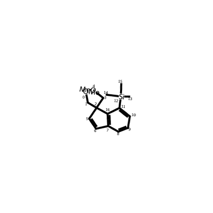 COCC1(COC)C=Cc2cccc([Si](C)(C)C)c21